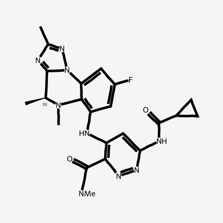 CNC(=O)c1nnc(NC(=O)C2CC2)cc1Nc1cc(F)cc2c1N(C)[C@@H](C)c1nc(C)nn1-2